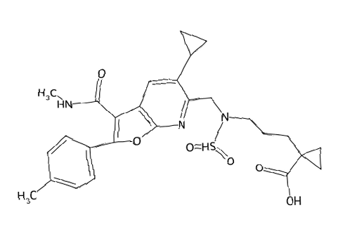 CNC(=O)c1c(-c2ccc(C)cc2)oc2nc(CN(CCCC3(C(=O)O)CC3)[SH](=O)=O)c(C3CC3)cc12